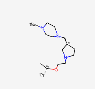 CC(C)[C@H](C)OCCN1CC[C@H](CN2CCN(C(C)(C)C)CC2)C1